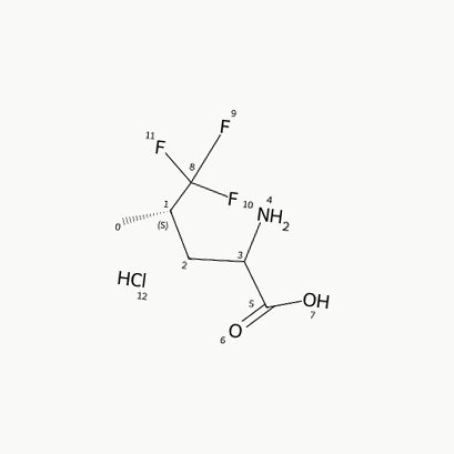 C[C@@H](CC(N)C(=O)O)C(F)(F)F.Cl